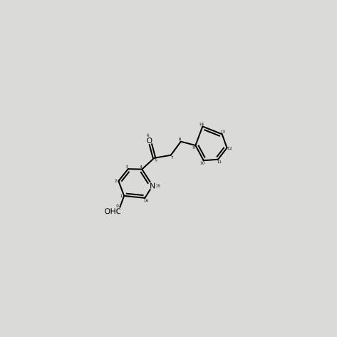 O=Cc1ccc(C(=O)CCc2ccccc2)nc1